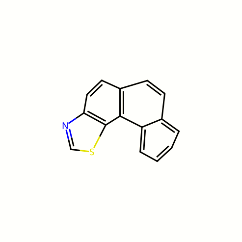 c1ccc2c(c1)ccc1ccc3ncsc3c12